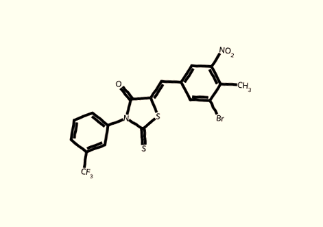 Cc1c(Br)cc(/C=C2\SC(=S)N(c3cccc(C(F)(F)F)c3)C2=O)cc1[N+](=O)[O-]